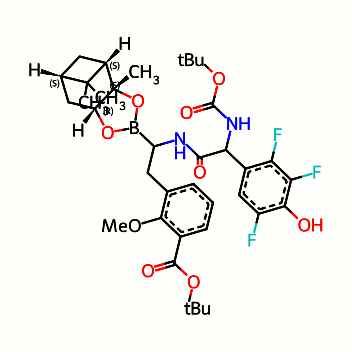 COc1c(CC(NC(=O)C(NC(=O)OC(C)(C)C)c2cc(F)c(O)c(F)c2F)B2O[C@@H]3C[C@@H]4C[C@@H](C4(C)C)[C@]3(C)O2)cccc1C(=O)OC(C)(C)C